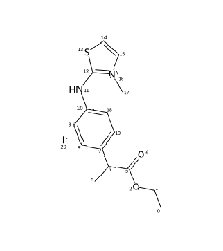 CCOC(=O)C(C)c1ccc(Nc2scc[n+]2C)cc1.[I-]